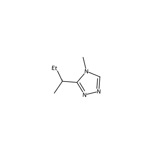 CC[C](C)c1nncn1C